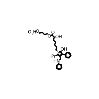 CC(C)c1c(CNc2ccccc2)c(-c2ccccc2)c(O)n1CCCCCC(O)C(=O)OCCCCO[N+](=O)[O-]